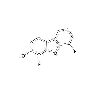 Oc1ccc2c(oc3c(F)cccc32)c1F